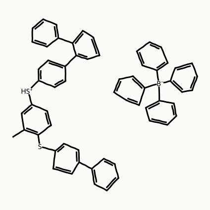 Cc1cc([SH+]c2ccc(-c3ccccc3-c3ccccc3)cc2)ccc1Sc1ccc(-c2ccccc2)cc1.c1ccc([B-](c2ccccc2)(c2ccccc2)c2ccccc2)cc1